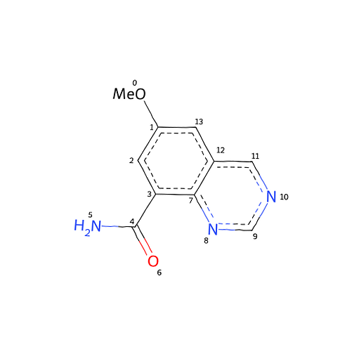 COc1cc(C(N)=O)c2ncncc2c1